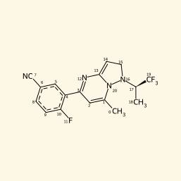 CC1=CC(c2cc(C#N)ccc2F)=NC2=CCN([C@H](C)C(F)(F)F)N12